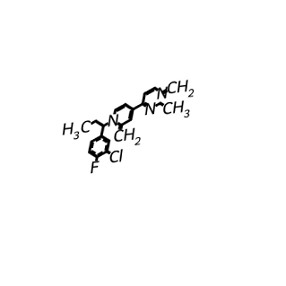 C=N/C=C\C(=N/CC)C1=CC(=C)N(C(CC)c2ccc(F)c(Cl)c2)C=C1